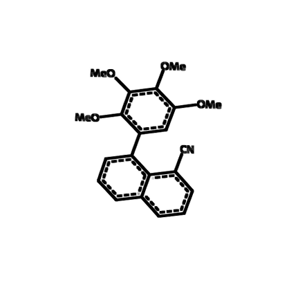 COc1cc(-c2cccc3cccc(C#N)c23)c(OC)c(OC)c1OC